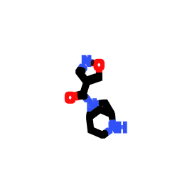 O=C(c1cnoc1)N1CC2CC1CCN2